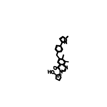 Cc1c(Cc2ccc(-c3ccn(C)n3)cc2)cc2c(=O)n([C@@H]3CCC[C@H]3O)cnc2c1C